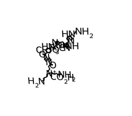 NCCCC[N+](CCCCN)(CCCC(=O)N1CCN(C(=O)c2ccc(NC(=O)c3ncc(Cc4c(C(F)(F)F)n[nH]c4-c4ccc(NCCN)cn4)[nH]3)cc2Cl)CC1)CC(=O)O